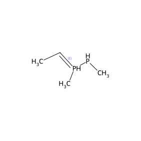 C/C=[PH](\C)PC